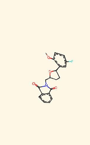 COc1ccc(F)cc1C1CCC(CN2C(=O)c3ccccc3C2=O)O1